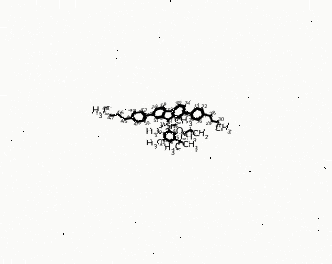 C=CCOc1c(C(C)(C)C)cc(C)cc1[Si](CC)(CC)C1c2cc(-c3ccc(CCCC)cc3)ccc2-c2ccc(-c3ccc(CCCC)cc3)cc21